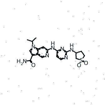 CC(C)n1cc(C(N)=O)c2cnc(Nc3ccnc(NC4CCS(=O)(=O)C4)n3)cc21